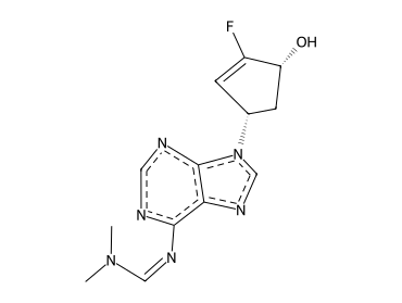 CN(C)/C=N\c1ncnc2c1ncn2[C@@H]1C=C(F)[C@H](O)C1